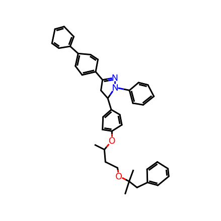 CC(CCOC(C)(C)Cc1ccccc1)Oc1ccc(C2CC(c3ccc(-c4ccccc4)cc3)=NN2c2ccccc2)cc1